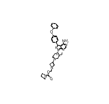 Nc1ncnc2c1c(-c1ccc(Oc3ccccc3)cc1)nn2[C@@H]1CCN(C2CN(COC(=O)N3CCC3)C2)C[C@@H]1F